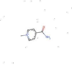 C[n+]1ccc(C(N)=O)cc1